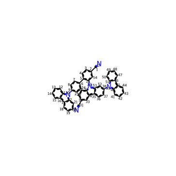 N#Cc1ccc(-c2ccc(-n3c4ccccc4c4ccccc43)cc2)c(-n2c3ccc(C#N)cc3c3ccc(-n4c5ccccc5c5ccccc54)cc32)c1